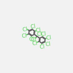 Clc1c(Cl)c(Cl)c(C(Cl)(Cl)c2c(Cl)c(Cl)c(Cl)c(Cl)c2Cl)c(Cl)c1Cl